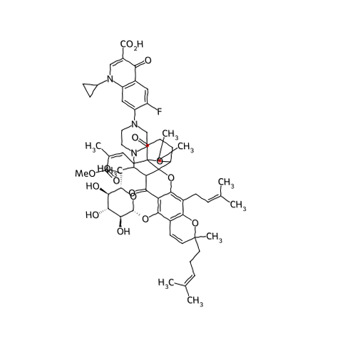 COC(=O)/C(C)=C\CC12OC(C)(C)C(CCC1=O)C21Oc2c(CC=C(C)C)c3c(c(O[C@H]4O[C@@H](CO)[C@H](O)[C@@H](O)[C@@H]4O)c2C(=O)C1C(C)N1CCN(c2cc4c(cc2F)c(=O)c(C(=O)O)cn4C2CC2)CC1)C=CC(C)(CCC=C(C)C)O3